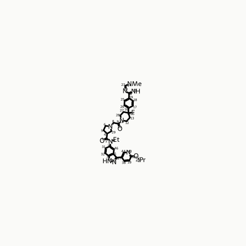 CCN(C(=O)C1CCN(CC(=O)N2CCC(F)(c3ccc(C(=N)/N=C\NC)cc3)CC2)C1)c1ccc2[nH]nc(-c3ccc(OC(C)C)nc3)c2c1